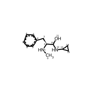 CN[C@@H](Cc1ccccc1)C(O)NC1CC1